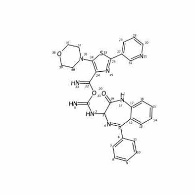 N=C(NC1N=C(c2ccccc2)c2ccccc2NC1=O)OC(=N)c1nc(-c2cccnc2)sc1N1CCOCC1